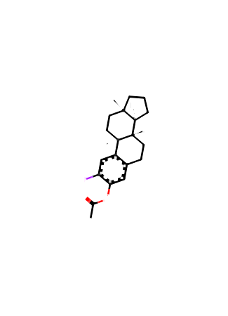 CC(=O)Oc1cc2c(cc1I)[C@H]1CC[C@]3(C)CCC[C@H]3[C@@H]1CC2